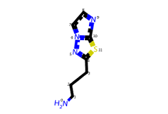 NCCCc1nn2ccnc2s1